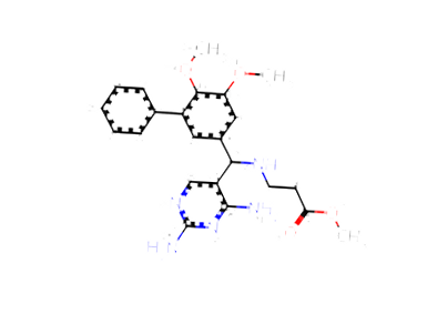 COC(=O)CCNC(c1cc(OC)c(OC)c(-c2ccccc2)c1)c1cnc(N)nc1N